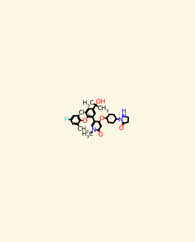 Cc1cc(F)cc(C)c1Oc1ccc(C(C)(C)O)cc1-c1cn(C)c(=O)cc1OC1CCC(N2NCCC2=O)CC1